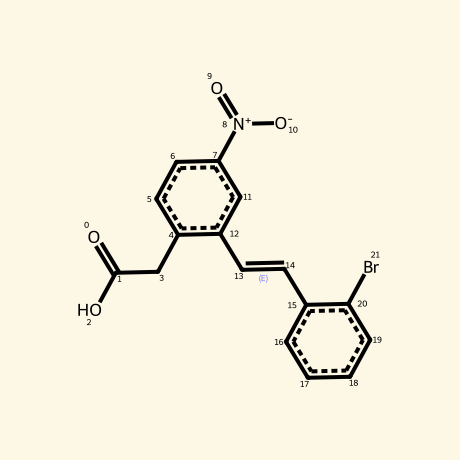 O=C(O)Cc1ccc([N+](=O)[O-])cc1/C=C/c1ccccc1Br